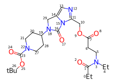 CCC(=O)N(CC)CCC(=O)OCc1ncc2n1C(=O)N(C1CCN(C(=O)OC(C)(C)C)CC1)C2